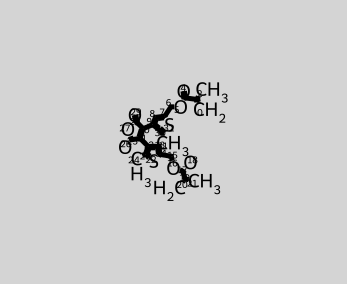 C=C(C)C(=O)OCc1cc(C2=C(c3cc(COC(=O)C(=C)C)sc3C)C(=O)OC2=O)c(C)s1